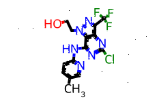 Cc1ccc(Nc2nc(Cl)nc3c(C(F)(F)F)nn(CCO)c23)nc1